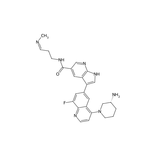 C/N=C\CCNC(=O)c1cnc2[nH]cc(-c3cc(F)c4nccc(N5CCC[C@@H](N)C5)c4c3)c2c1